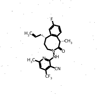 C=CC[C@H]1CCN(Nc2nc(C)cc(C(F)(F)F)c2C#N)C(=O)[C@@H](C)c2ccc(F)cc21